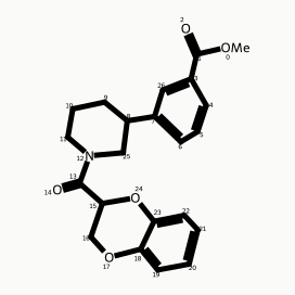 COC(=O)c1cccc(C2CCCN(C(=O)C3COc4ccccc4O3)C2)c1